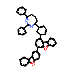 C1=CC(c2ccc(-c3ccc4oc5ccccc5c4c3)c3oc4ccccc4c23)CC(C2CCC/C(c3ccccc3)=N\C(c3ccccc3)=N/2)=C1